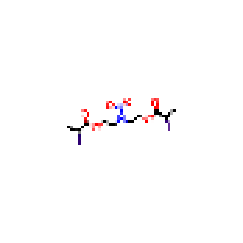 CC(I)C(=O)OCCN(CCOC(=O)C(C)I)[N+](=O)[O-]